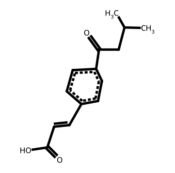 CC(C)CC(=O)c1ccc(C=CC(=O)O)cc1